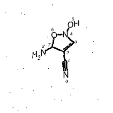 N#CC1=CN(O)OC1N